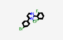 Fc1cccc(F)c1C1N=CC=C(c2ccc(Br)cc2)N1Cl